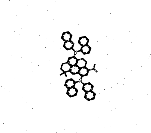 CC(C)c1cc(N(c2ccc3ccccc3c2)c2cccc3ccccc23)c2cc3c4c(cc(N(c5ccc6ccccc6c5)c5cccc6ccccc56)c5c4c2c1CC5)CCC3(C)C